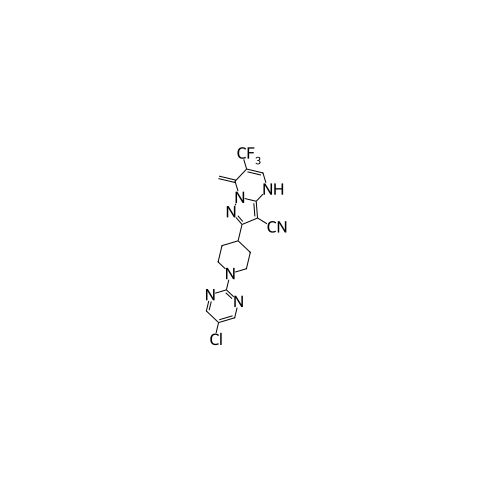 C=C1C(C(F)(F)F)=CNc2c(C#N)c(C3CCN(c4ncc(Cl)cn4)CC3)nn21